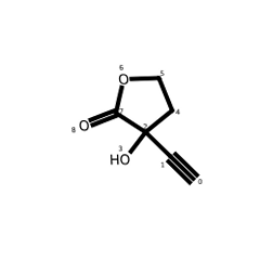 C#CC1(O)CCOC1=O